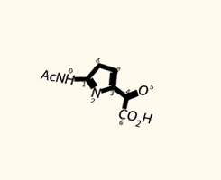 CC(=O)NC1=NC(C(=O)C(=O)O)=CC1